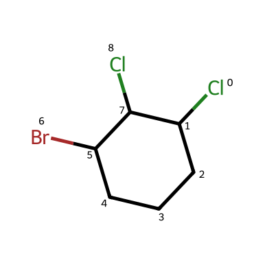 ClC1CCCC(Br)C1Cl